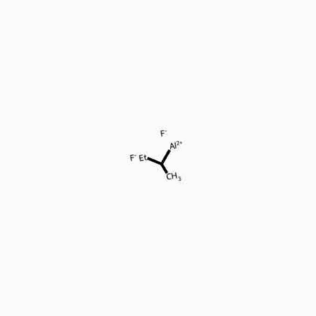 CC[CH](C)[Al+2].[F-].[F-]